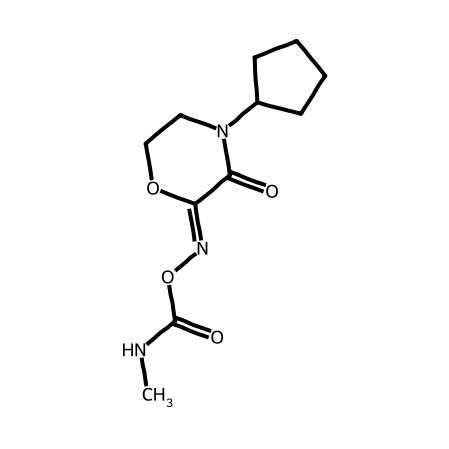 CNC(=O)ON=C1OCCN(C2CCCC2)C1=O